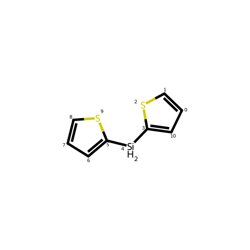 c1csc([SiH2]c2cccs2)c1